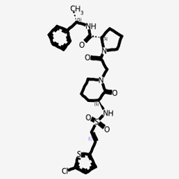 C[C@H](NC(=O)[C@@H]1CCCN1C(=O)CN1CCC[C@H](NS(=O)(=O)/C=C/c2ccc(Cl)s2)C1=O)c1ccccc1